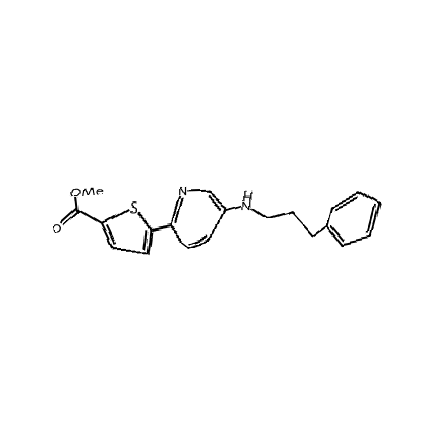 COC(=O)c1ccc(-c2ccc(NCCCc3ccccc3)cn2)s1